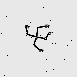 CC(C)C[Si](CC(C)C)(CC(C)C)[O][Zr]